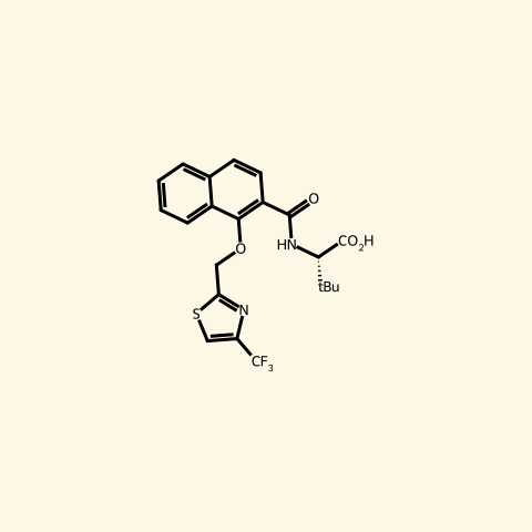 CC(C)(C)[C@H](NC(=O)c1ccc2ccccc2c1OCc1nc(C(F)(F)F)cs1)C(=O)O